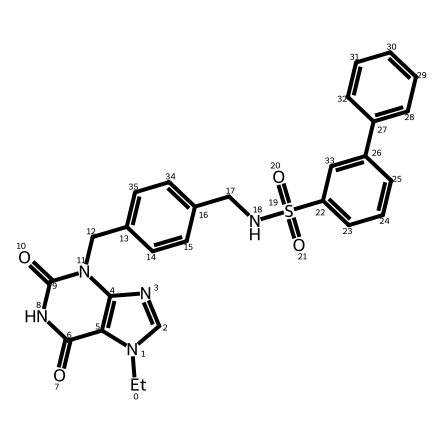 CCn1cnc2c1c(=O)[nH]c(=O)n2Cc1ccc(CNS(=O)(=O)c2cccc(-c3ccccc3)c2)cc1